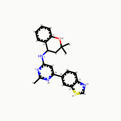 Cc1nc(NC2CC(C)(C)Oc3ccccc32)cc(-c2ccc3ncsc3c2)n1